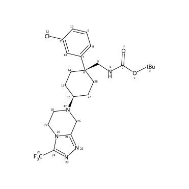 CC(C)(C)OC(=O)NC[C@]1(c2cccc(Cl)c2)CC[C@H](N2CCn3c(nnc3C(F)(F)F)C2)CC1